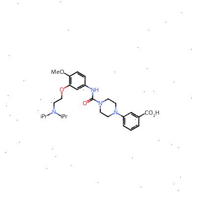 COc1ccc(NC(=O)N2CCN(c3cccc(C(=O)O)c3)CC2)cc1OCCN(C(C)C)C(C)C